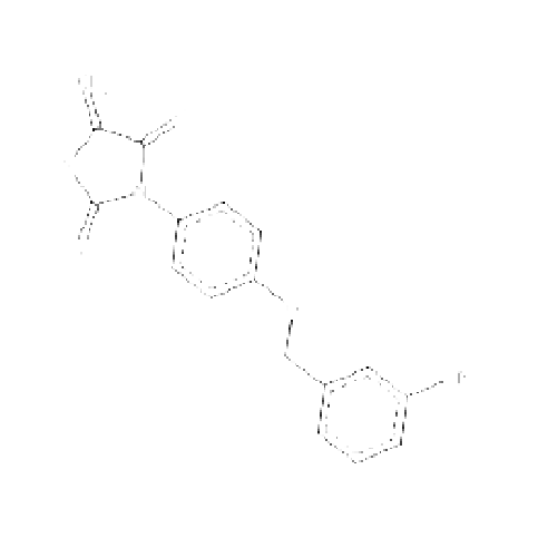 C=C1SC(=S)N(c2ccc(OCc3cccc(CCC)c3)cc2)C1=O